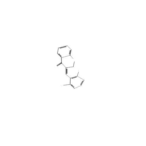 O=C1C(=Cc2c(Cl)cccc2Cl)COc2ccccc21